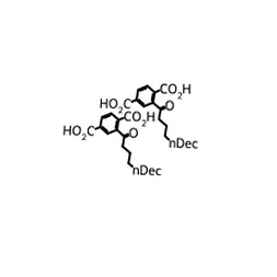 CCCCCCCCCCCCCC(=O)c1cc(C(=O)O)ccc1C(=O)O.CCCCCCCCCCCCCC(=O)c1cc(C(=O)O)ccc1C(=O)O